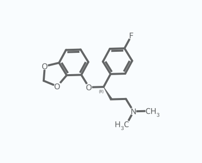 CN(C)CC[C@@H](Oc1cccc2c1OCO2)c1ccc(F)cc1